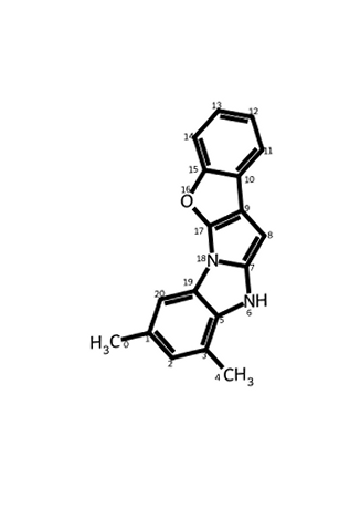 Cc1cc(C)c2[nH]c3cc4c5ccccc5oc4n3c2c1